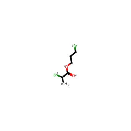 CC(Br)C(=O)OCCCBr